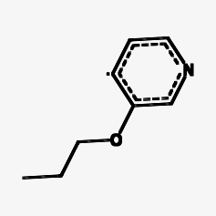 CCCOc1[c]ccnc1